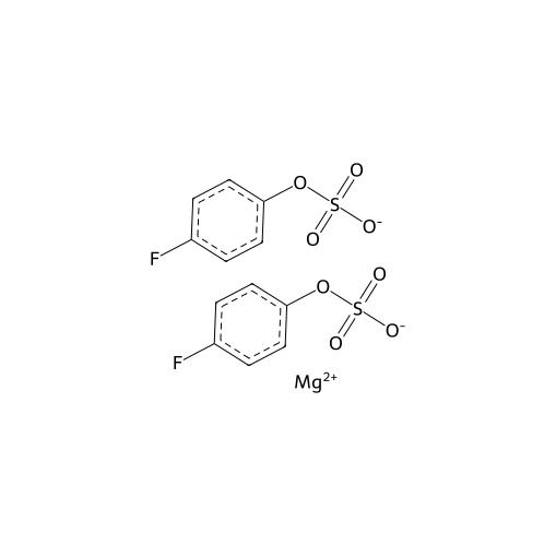 O=S(=O)([O-])Oc1ccc(F)cc1.O=S(=O)([O-])Oc1ccc(F)cc1.[Mg+2]